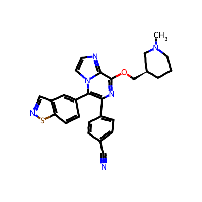 CN1CCC[C@@H](COc2nc(-c3ccc(C#N)cc3)c(-c3ccc4sncc4c3)n3ccnc23)C1